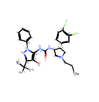 COCCN1C[C@@H](NC(=O)Nc2c(Br)c(C(C)(C)C#N)nn2-c2ccccc2)[C@H](c2ccc(F)c(F)c2)C1